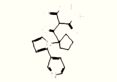 O=C(O)C(C(=O)O)C(=O)C1(n2cccc2-c2cccnc2)CCCC1